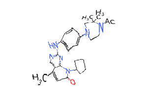 CC(=O)N1CCN(c2ccc(Nc3ncc4c(C)cc(=O)n(C5CCCC5)c4n3)cc2)CC1(C)C